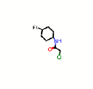 CCC1CCC(NC(=O)CCl)CC1